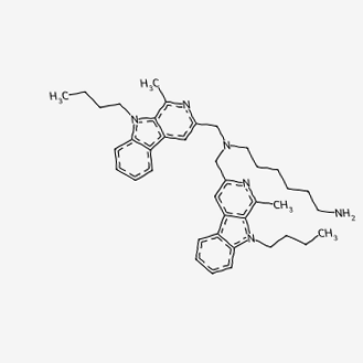 CCCCn1c2ccccc2c2cc(CN(CCCCCCN)Cc3cc4c5ccccc5n(CCCC)c4c(C)n3)nc(C)c21